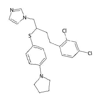 Clc1ccc(CCC(Cn2ccnc2)Sc2ccc(N3CCCC3)cc2)c(Cl)c1